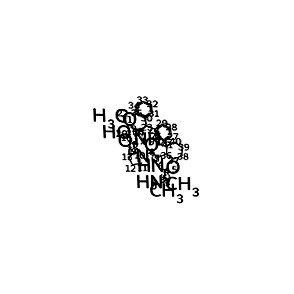 CN[C@@H](C)C(=O)N[C@H](C(=O)N1CCC[C@H]1C(=O)N[C@H](C(O)OC)C(c1ccccc1)c1ccccc1)C1CCCCC1